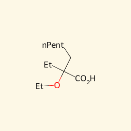 CCCCCCC(CC)(OCC)C(=O)O